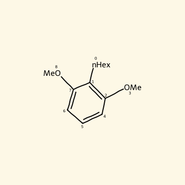 [CH2]CCCCCc1c(OC)cccc1OC